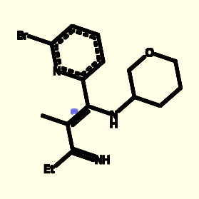 CCC(=N)/C(C)=C(\NC1CCCOC1)c1cccc(Br)n1